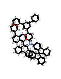 c1ccc(-c2cc(-c3ccccc3)cc(-c3ccc(N(c4ccc5c(c4)C4(c6ccccc6-c6ccccc64)c4ccccc4-5)c4c(-c5cccc6c(-c7ccccc7)cccc56)c5ccccc5c5ccccc45)cc3)c2)cc1